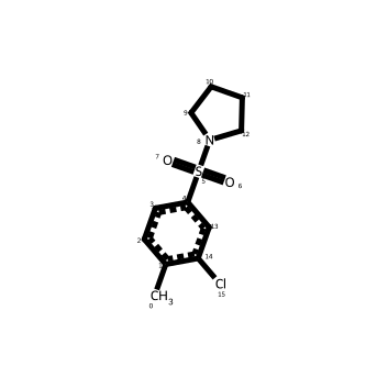 Cc1ccc(S(=O)(=O)N2CCCC2)cc1Cl